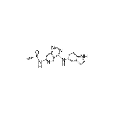 C#CC(=O)Nc1cc2ncnc(Nc3ccc4[nH]ccc4c3)c2cn1